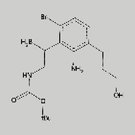 BC(CNC(=O)OC(C)(C)C)c1c(Br)ccc(CCCO)c1N